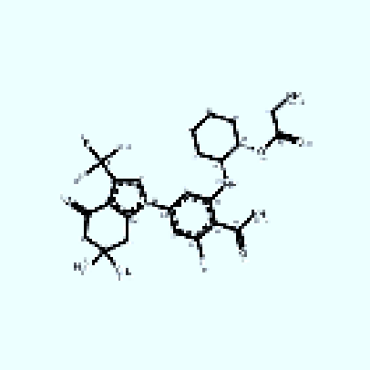 CC1(C)CC(=O)c2c(C(F)(F)F)cn(-c3cc(F)c(C(N)=O)c(N[C@H]4CCCC[C@@H]4OC(=O)CN)c3)c2C1